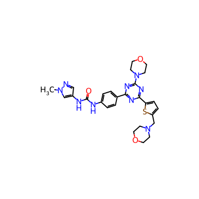 Cn1cc(NC(=O)Nc2ccc(-c3nc(-c4ccc(CN5CCOCC5)s4)nc(N4CCOCC4)n3)cc2)cn1